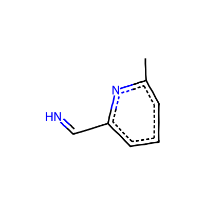 Cc1cccc(C=N)n1